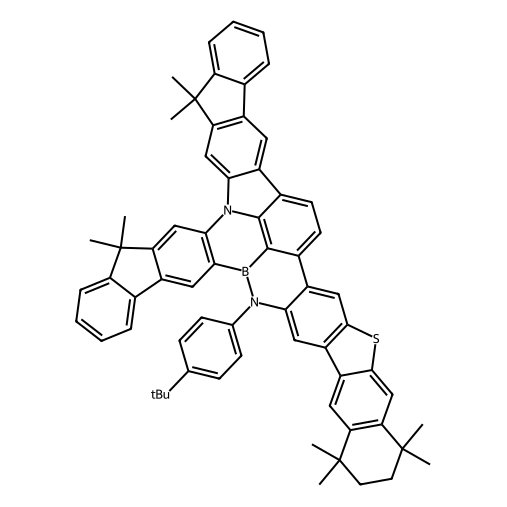 CC(C)(C)c1ccc(N2B3c4cc5c(cc4-n4c6cc7c(cc6c6ccc(c3c64)-c3cc4sc6cc8c(cc6c4cc32)C(C)(C)CCC8(C)C)-c2ccccc2C7(C)C)C(C)(C)c2ccccc2-5)cc1